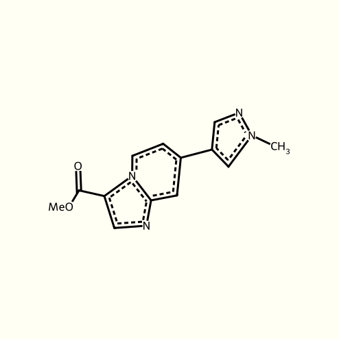 COC(=O)c1cnc2cc(-c3cnn(C)c3)ccn12